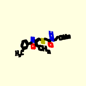 COCCNC(=O)CSCc1nc(-c2cccc(C)c2)oc1C